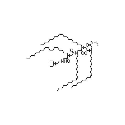 CCCCCCCC/C=C\CCCCCCCCN(CC(N)=O)C(=O)CN(CCCCCCCC/C=C\CCCCCCCC)C(=O)CN(CCCCCCCC/C=C\CCCCCCCC)C(=O)CN(CCCCCCCC/C=C\CCCCCCCC)C(=O)CNCCN(CC)CC